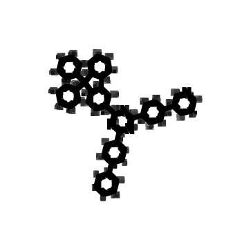 c1ccc(-c2ccc(-c3nc(-c4ccc(-c5cccnc5)cc4)nc(-c4ccc5c(c4)-c4ccccc4C5(c4ccccc4)c4ccccc4)n3)cc2)cc1